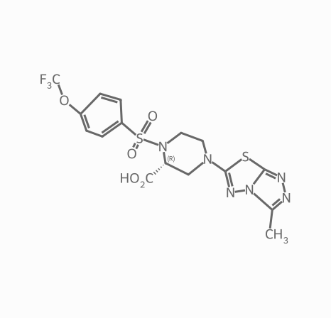 Cc1nnc2sc(N3CCN(S(=O)(=O)c4ccc(OC(F)(F)F)cc4)[C@@H](C(=O)O)C3)nn12